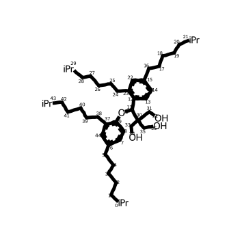 CC(C)CCCCCc1ccc(OC(c2ccc(CCCCCC(C)C)cc2CCCCCC(C)C)C(CO)(CO)CO)c(CCCCCC(C)C)c1